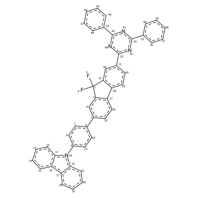 FC1(F)c2cc(-c3ccc(-n4c5ccccc5c5ccccc54)cc3)ccc2-c2ccc(-c3nc(-c4ccccc4)nc(-c4ccccc4)n3)cc21